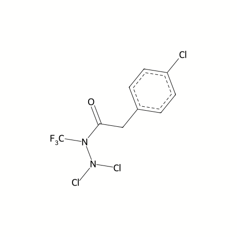 O=C(Cc1ccc(Cl)cc1)N(N(Cl)Cl)C(F)(F)F